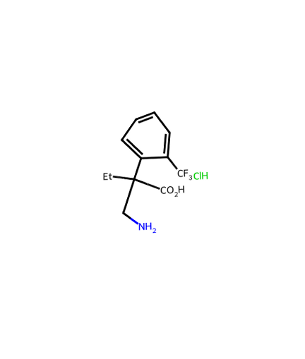 CCC(CN)(C(=O)O)c1ccccc1C(F)(F)F.Cl